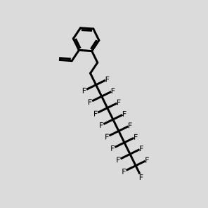 C=Cc1ccccc1CCC(F)(F)C(F)(F)C(F)(F)C(F)(F)C(F)(F)C(F)(F)C(F)(F)C(F)(F)F